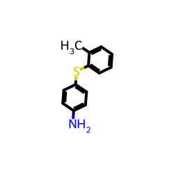 Cc1ccccc1Sc1ccc(N)cc1